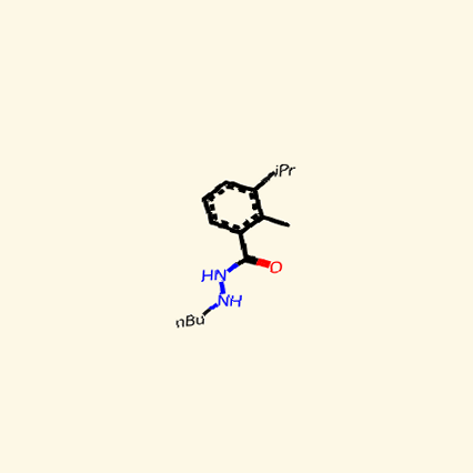 CCCCNNC(=O)c1cccc(C(C)C)c1C